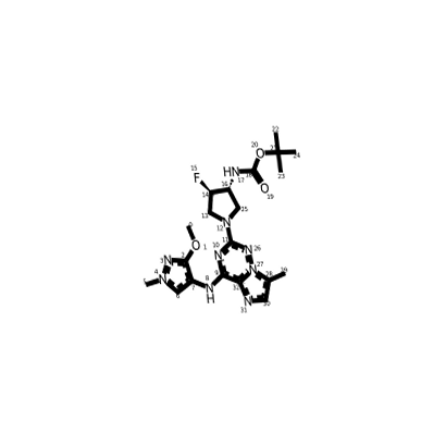 COc1nn(C)cc1Nc1nc(N2C[C@@H](F)[C@H](NC(=O)OC(C)(C)C)C2)nn2c(C)cnc12